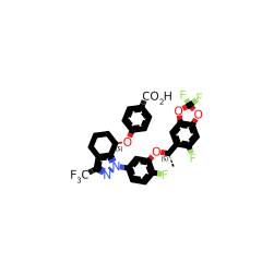 C[C@H](Oc1cc(-n2nc(C(F)(F)F)c3c2[C@@H](Oc2ccc(C(=O)O)cc2)CCC3)ccc1F)c1cc2c(cc1F)OC(F)(F)O2